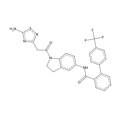 Nc1nc(CC(=O)N2CCc3cc(NC(=O)c4ccccc4-c4ccc(C(F)(F)F)cc4)ccc32)ns1